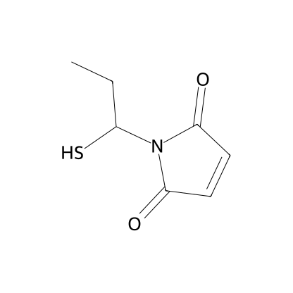 CCC(S)N1C(=O)C=CC1=O